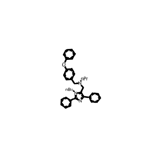 CCCCn1c(-c2ccccc2)nc(-c2ccccc2)c1CN(CCC)Cc1ccc(Oc2ccccc2)cc1